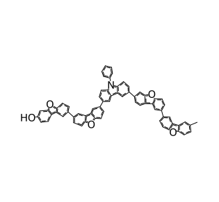 Cc1ccc2oc3ccc(-c4ccc5oc6cc(-c7ccc8c(c7)c7cc(-c9ccc%10oc%11ccc(-c%12ccc%13oc%14cc(O)ccc%14c%13c%12)cc%11c%10c9)ccc7n8-c7ccccc7)ccc6c5c4)cc3c2c1